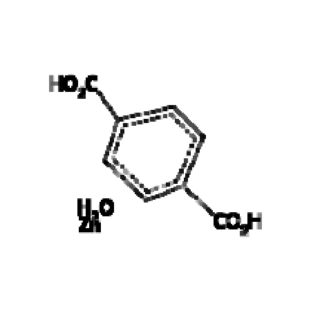 O.O=C(O)c1ccc(C(=O)O)cc1.[Zn]